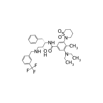 CCN(CC)c1cc(C(=O)N[C@@H](Cc2ccccc2)[C@H](O)CNCc2cccc(C(F)(F)F)c2)cc(N2CCCCS2(=O)=O)c1C